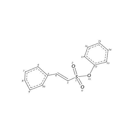 O=S(=O)(/C=C/c1ccccc1)Oc1ccccc1